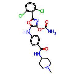 CN1CCC(NC(=O)c2ccc(Nc3oc(-c4c(Cl)cccc4Cl)nc3OC(N)=O)cc2)CC1